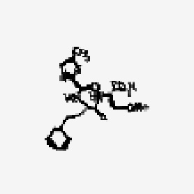 COC[C@H](NC(=O)[C@H](CCc1ccccc1)NC(=O)c1ncc(C)s1)C(=O)O